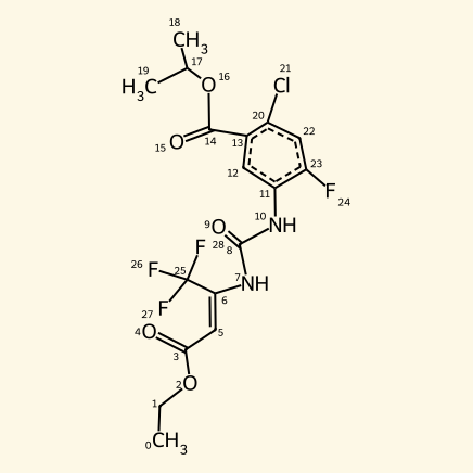 CCOC(=O)C=C(NC(=O)Nc1cc(C(=O)OC(C)C)c(Cl)cc1F)C(F)(F)F